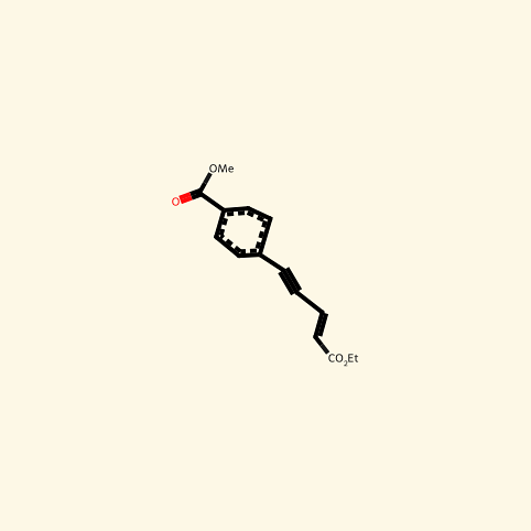 CCOC(=O)C=CC#Cc1ccc(C(=O)OC)cc1